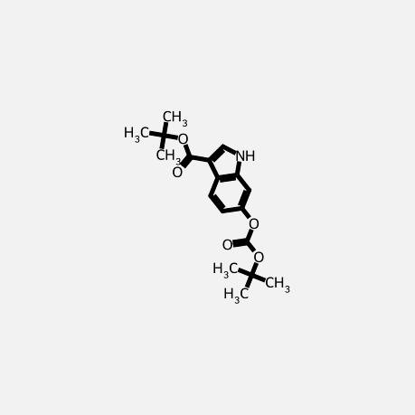 CC(C)(C)OC(=O)Oc1ccc2c(C(=O)OC(C)(C)C)c[nH]c2c1